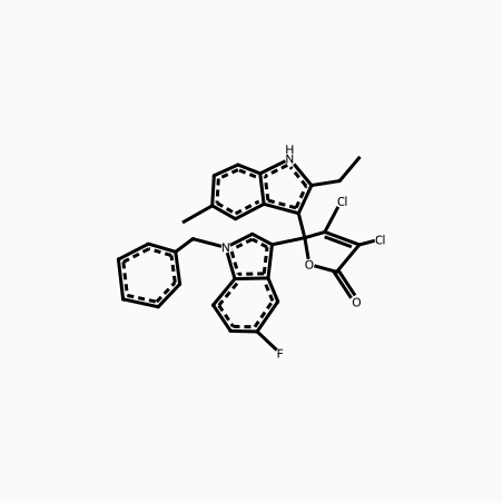 CCc1[nH]c2ccc(C)cc2c1C1(c2cn(Cc3ccccc3)c3ccc(F)cc23)OC(=O)C(Cl)=C1Cl